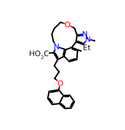 CCc1c2c(nn1C)COCCCCn1c(C(=O)O)c(CCCOc3cccc4ccccc34)c3ccc(C)c-2c31